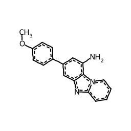 COc1ccc(-c2cc(N)c3c(c2)nc2ccccn23)cc1